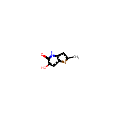 Cc1cc2[nH]c(=O)c(O)cc2s1